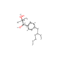 CCCCC(CC)Cc1ccc(C(=O)C(C)(C)O)cc1